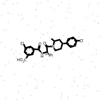 CC(C)[C@@H](NC(=O)c1cc(Cl)cc(C(=O)O)c1)C(=O)N1CCC(c2ccc(Cl)cc2)CC1C